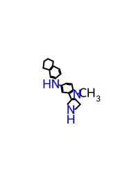 Cn1c2c(c3cc(Nc4ccc5c(c4)CCCC5)ccc31)CNCC2